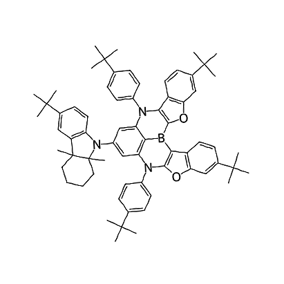 CC(C)(C)c1ccc(N2c3cc(N4c5ccc(C(C)(C)C)cc5C5(C)CCCCC45C)cc4c3B(c3oc5cc(C(C)(C)C)ccc5c3N4c3ccc(C(C)(C)C)cc3)c3c2oc2cc(C(C)(C)C)ccc32)cc1